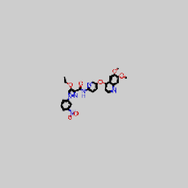 CCOc1cn(-c2cccc([N+](=O)[O-])c2)nc1C(=O)Nc1ccc(Oc2ccnc3cc(OC)c(OC)cc23)cn1